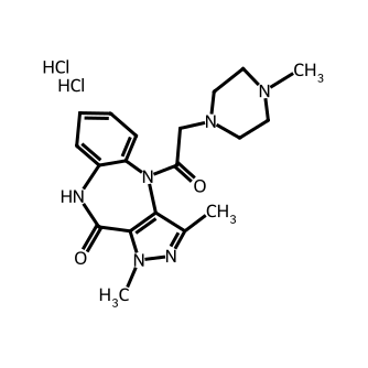 Cc1nn(C)c2c1N(C(=O)CN1CCN(C)CC1)c1ccccc1NC2=O.Cl.Cl